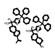 C=C(C)c1ccc2cc(C(O)(c3cn(C(c4ccccc4)(c4ccccc4)c4ccccc4)cn3)C(C)C)ccc2c1.CC(C)c1ccc2cc(C(O)(c3cn(C(c4ccccc4)(c4ccccc4)c4ccccc4)cn3)C(C)C)ccc2c1